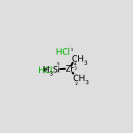 Cl.Cl.[CH3][Zr]([CH3])[SiH3]